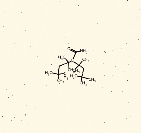 CC(C)(C)CC(C)(C)N(C(N)=O)C(C)(C)CC(C)(C)C